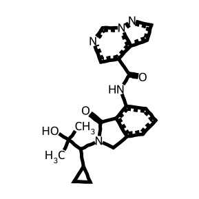 CC(C)(O)C(C1CC1)N1Cc2cccc(NC(=O)c3cncn4nccc34)c2C1=O